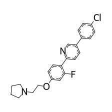 Fc1cc(OCCN2CCCC2)ccc1-c1ccc(-c2ccc(Cl)cc2)cn1